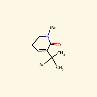 CC(=O)C(C)(C)C1=CCCN(C(C)(C)C)C1=O